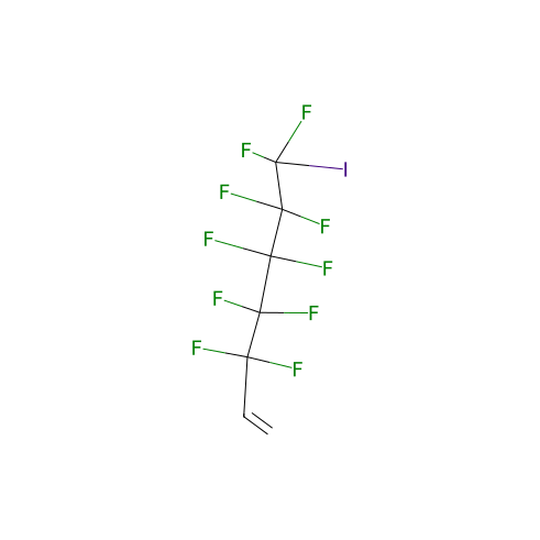 C=CC(F)(F)C(F)(F)C(F)(F)C(F)(F)C(F)(F)I